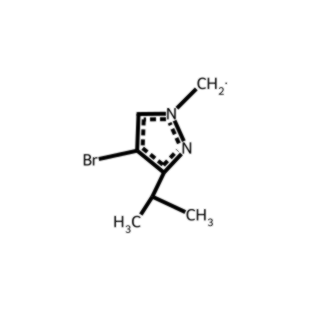 [CH2]n1cc(Br)c(C(C)C)n1